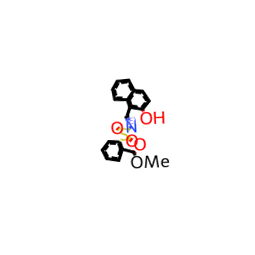 COC(=O)c1ccccc1S(=O)(=O)/N=C/c1c(O)ccc2ccccc12